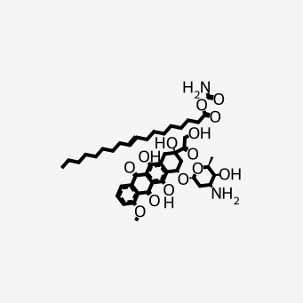 CCCCCCCCC=CCCCCCCCC(=O)OC(N)=O.COc1cccc2c1C(=O)c1c(O)c3c(c(O)c1C2=O)C[C@@](O)(C(=O)CO)C[C@@H]3O[C@H]1C[C@H](N)[C@H](O)[C@H](C)O1